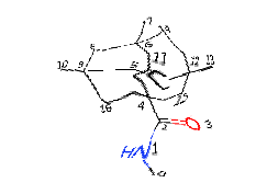 CNC(=O)C12CC3(C)CC(C)(CC(C)(C3)C1)C2